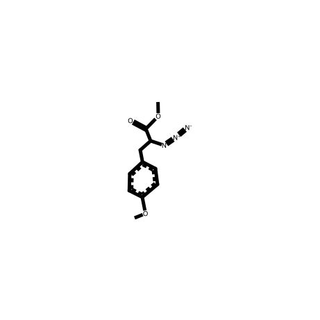 COC(=O)C(Cc1ccc(OC)cc1)N=[N+]=[N-]